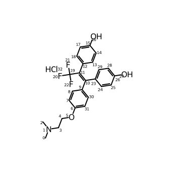 CN(C)CCOc1ccc(C(=C(c2ccc(O)cc2)C(F)(F)F)c2ccc(O)cc2)cc1.Cl